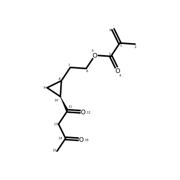 C=C(C)C(=O)OCCC1C[C@@H]1C(=O)CC(C)=O